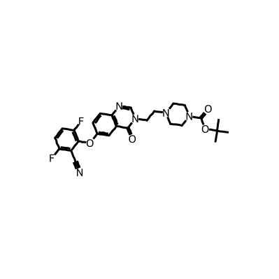 CC(C)(C)OC(=O)N1CCN(CCn2cnc3ccc(Oc4c(F)ccc(F)c4C#N)cc3c2=O)CC1